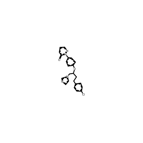 O=c1cccnn1-c1ccc(OC(CCc2ccc(Cl)cc2)Cn2ccnc2)cc1